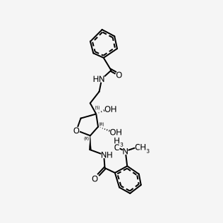 CN(C)c1ccccc1C(=O)NC[C@H]1OC[C@@](O)(CCNC(=O)c2ccccc2)[C@@H]1O